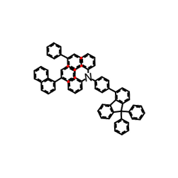 c1ccc(-c2cccc(-c3ccccc3N(c3ccc(-c4cccc5c4-c4ccccc4C5(c4ccccc4)c4ccccc4)cc3)c3ccccc3-c3ccc(-c4cccc5ccccc45)cc3)c2)cc1